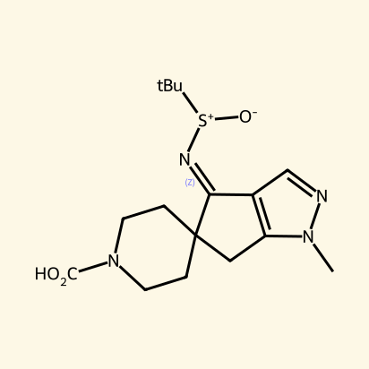 Cn1ncc2c1CC1(CCN(C(=O)O)CC1)/C2=N/[S+]([O-])C(C)(C)C